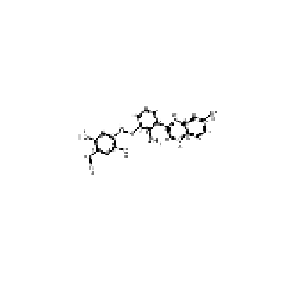 Cc1c(COc2cc(O)c(C=O)cc2Cl)cccc1-c1cnc2ccc(Br)cc2n1